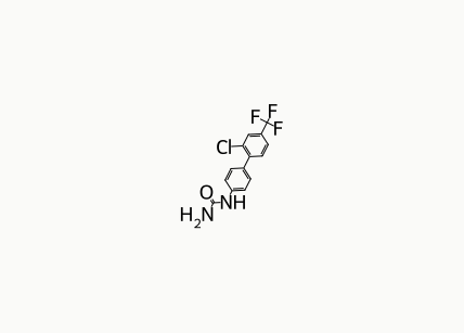 NC(=O)Nc1ccc(-c2ccc(C(F)(F)F)cc2Cl)cc1